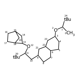 CC(OC1CCC2CCC(CC(OC3CC4CCC3C4)C(C)(C)C)CC2C1)C(C)(C)C